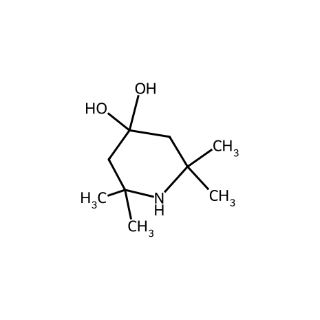 CC1(C)CC(O)(O)CC(C)(C)N1